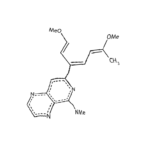 CNc1nc(C(/C=C/OC)=C/C=C(\C)OC)cc2nccnc12